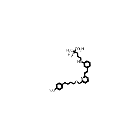 CCCCc1ccc(CCCCOCc2cccc(C=Cc3cccc(NCCCC(C)(C)C(=O)O)c3)n2)cc1